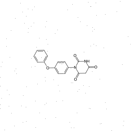 O=C1CC(=O)N(c2ccc(Oc3ccccc3)cc2)C(=O)N1